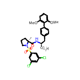 COc1cccc(OC)c1-c1ccc(C[C@H](NC(=O)[C@]2(C)CCCN2S(=O)(=O)c2cc(Cl)cc(Cl)c2)C(=O)O)cc1